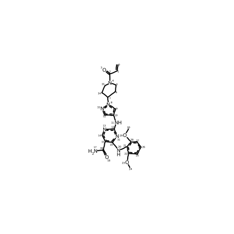 C=CC(=O)N1CCC(n2cc(Nc3ncc(C(N)=O)c(Nc4c(OC)cccc4OC)n3)cn2)CC1